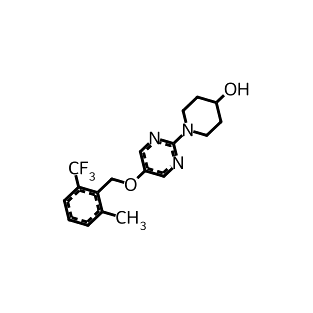 Cc1cccc(C(F)(F)F)c1COc1cnc(N2CCC(O)CC2)nc1